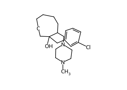 CN1CCN(CC2CCCCCCC2(O)Cc2cccc(Cl)c2)CC1